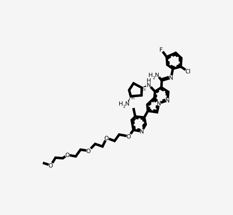 COCCOCCOCCOCCOc1cc(C)c(-c2cc3c(N[C@H]4CC[C@@H](N)C4)c(C(N)=Nc4cc(F)ccc4Cl)cnn3c2)cn1